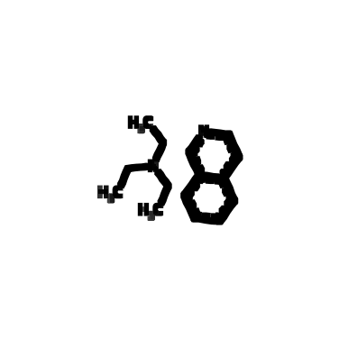 CCN(CC)CC.c1ccc2cnccc2c1